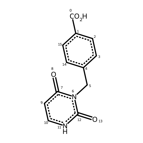 O=C(O)c1ccc(Cn2c(=O)cc[nH]c2=O)cc1